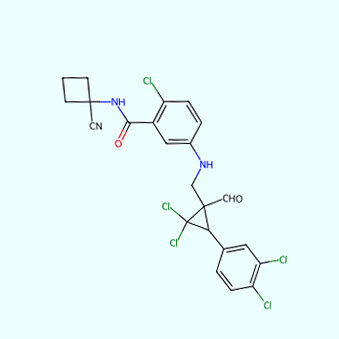 N#CC1(NC(=O)c2cc(NCC3(C=O)C(c4ccc(Cl)c(Cl)c4)C3(Cl)Cl)ccc2Cl)CCC1